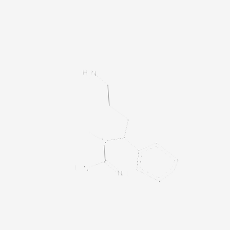 CN(C(=N)N)C(CCCN)c1ccccc1